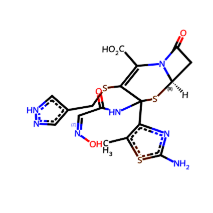 Cc1sc(N)nc1C1(NC(=O)/C=N\O)S[C@@H]2CC(=O)N2C(C(=O)O)=C1SCc1cn[nH]c1